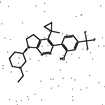 CCN1CCC[C@@H](N2CCc3c2nnc(-c2ccc(C(F)(F)F)cc2O)c3C2(C)CC2)C1